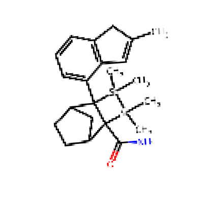 CC1=Cc2c(cccc2C23C4CCC(C4)C2(C([NH])=O)[Si](C)(C)[Si]3(C)C)C1